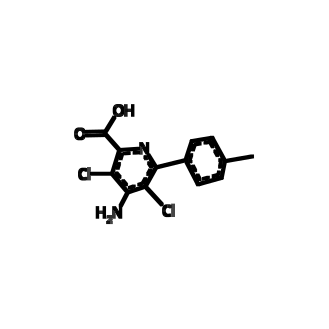 Cc1ccc(-c2nc(C(=O)O)c(Cl)c(N)c2Cl)cc1